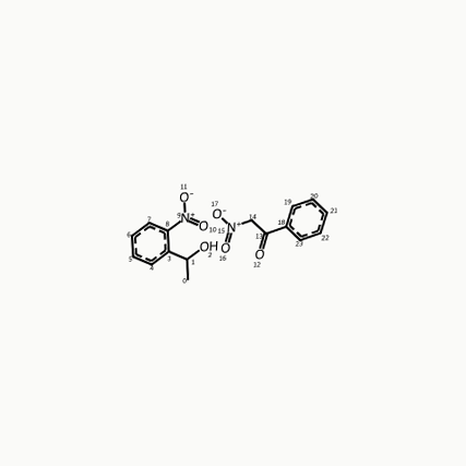 CC(O)c1ccccc1[N+](=O)[O-].O=C(C[N+](=O)[O-])c1ccccc1